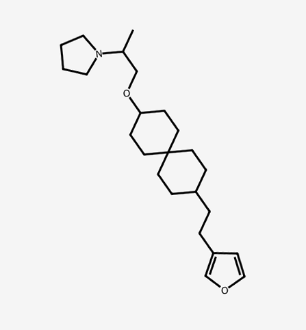 CC(COC1CCC2(CCC(CCc3ccoc3)CC2)CC1)N1CCCC1